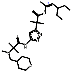 C=C(O/C(C)=C\C(CC)CC)C(C)(C)c1cc(NC(=O)C(C)(C)N(C)CC2CCOCC2)on1